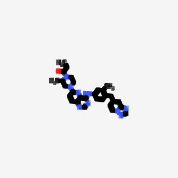 C=CC(=O)N1CCN(c2ccc3ncnc(Nc4ccc(Cc5ccn6ncnc6c5)c(C)c4)c3n2)CC1C